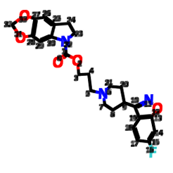 O=C(OCCCN1CCC(c2noc3cc(F)ccc23)CC1)N1CCc2cc3c(cc21)OCO3